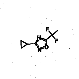 CC(F)(F)c1nc(C2CC2)no1